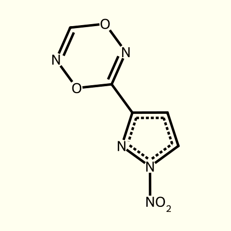 O=[N+]([O-])n1ccc(C2=NOC=NO2)n1